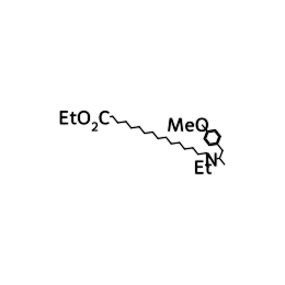 CCOC(=O)CCCCCCCCCCCCCCCN(CC)C(C)Cc1ccc(OC)cc1